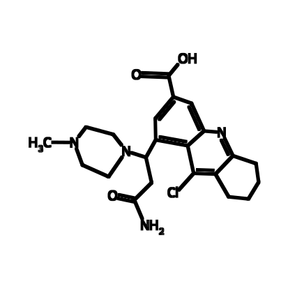 CN1CCN(C(CC(N)=O)c2cc(C(=O)O)cc3nc4c(c(Cl)c23)CCCC4)CC1